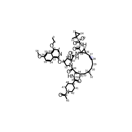 CCOc1cnc(O[C@@H]2C[C@H]3C(=O)N[C@]4(C(=O)NS(=O)(=O)C5(C)CC5)CC4/C=C\CC[C@@H](C)C[C@@H](C)[C@H](NC(=O)C4CCN(C(C)=O)CC4)C(=O)N3C2)c2ccc(OC)cc12